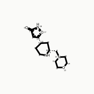 O=c1cc([C@H]2CCN[C@@H](CN3CCOCC3)C2)o[nH]1